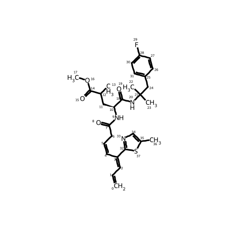 C=C/C=C(\C=C/CC(=O)N[C@@H](CC(C)C(=O)OC)C(=O)NC(C)(C)Cc1ccc(F)cc1)c1ncc(C)s1